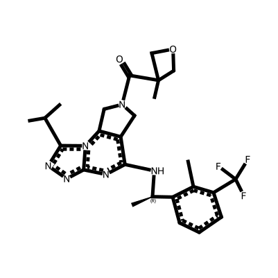 Cc1c([C@@H](C)Nc2nc3nnc(C(C)C)n3c3c2CN(C(=O)C2(C)COC2)C3)cccc1C(F)(F)F